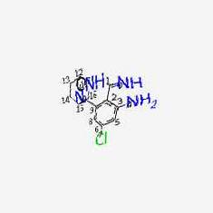 N=Cc1c(N)cc(Cl)cc1N1CC2CCC1CN2